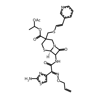 C=CCON=C(C(=O)NC1C(=O)N2CC(CSC=Cc3cccnc3)(C(=O)OC(C)OC(C)=O)CS[C@H]12)c1csc(N)n1